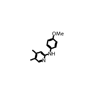 COc1ccc(Nc2cc(C)c(C)cn2)cc1